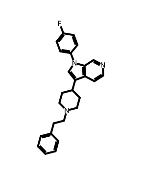 Fc1ccc(-n2cc(C3CCN(CCc4ccccc4)CC3)c3ccncc32)cc1